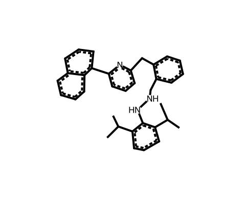 CC(C)c1cccc(C(C)C)c1NNCc1ccccc1Cc1cccc(-c2cccc3ccccc23)n1